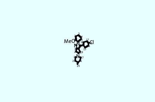 COc1ccccc1-n1nc2c(c1-c1ccc(Cl)cc1)CC(N1CCC(C)CC1)C2